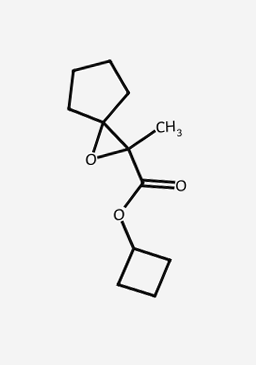 CC1(C(=O)OC2CCC2)OC12CCCC2